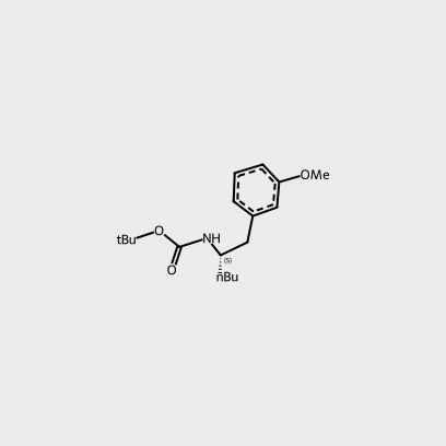 CCCC[C@@H](Cc1cccc(OC)c1)NC(=O)OC(C)(C)C